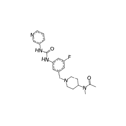 CC(=O)N(C)C1CCN(Cc2cc(F)cc(NC(=O)Nc3cccnc3)c2)CC1